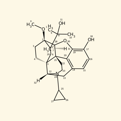 CO[C@]12CC[C@@]3(C[C@@H]1C(C)(C)O)[C@H]1Cc4ccc(O)c5c4[C@@]3(CCN1C1CC1)[C@]2(C)O5